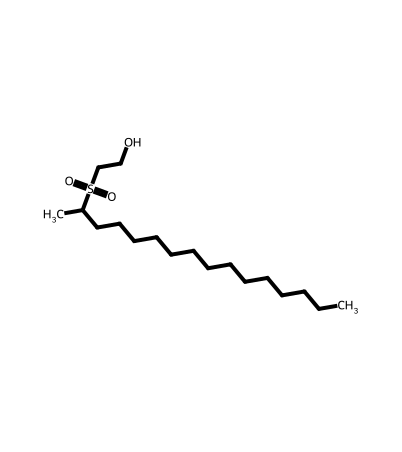 CCCCCCCCCCCCCCC(C)S(=O)(=O)CCO